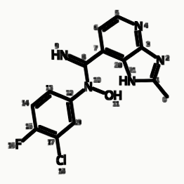 Cc1nc2nccc(C(=N)N(O)c3ccc(F)c(Cl)c3)c2[nH]1